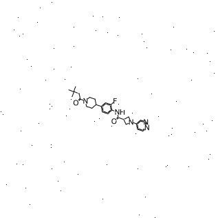 CC(C)(C)CC(=O)N1CCC(c2ccc(NC(=O)C3CN(c4ccnnc4)C3)c(F)c2)CC1